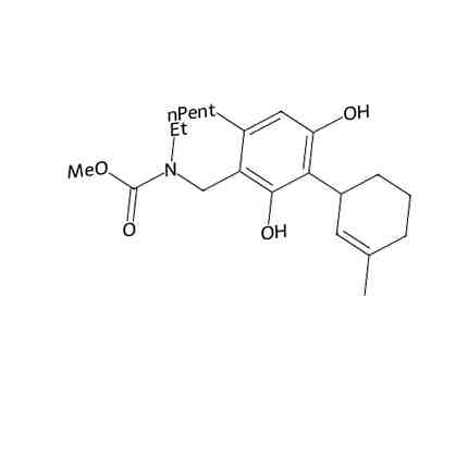 CCCCCc1cc(O)c(C2C=C(C)CCC2)c(O)c1CN(CC)C(=O)OC